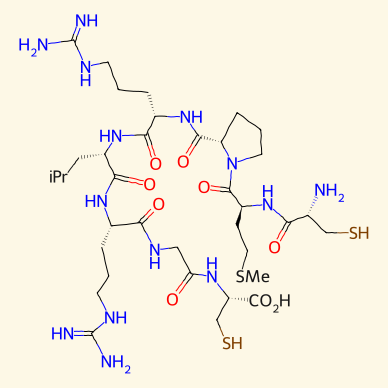 CSCC[C@H](NC(=O)[C@H](N)CS)C(=O)N1CCC[C@H]1C(=O)N[C@@H](CCCNC(=N)N)C(=O)N[C@@H](CC(C)C)C(=O)N[C@@H](CCCNC(=N)N)C(=O)NCC(=O)N[C@@H](CS)C(=O)O